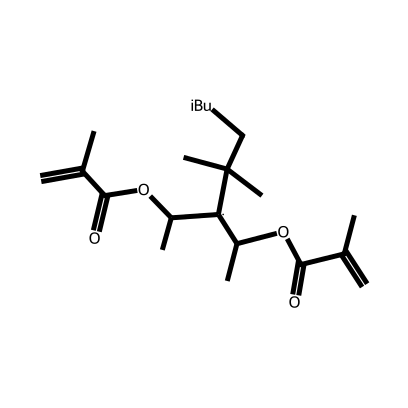 [CH2]CC(C)CC(C)(C)[C](C(C)OC(=O)C(=C)C)C(C)OC(=O)C(=C)C